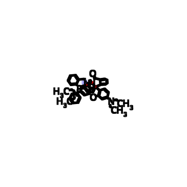 CCN(CC)c1ccc2c(c1)Oc1cc(N(CC)CC)ccc1C21c2ccccc2C(=O)N1/N=C/c1ccccc1P(c1ccccc1)c1ccccc1